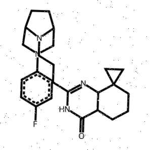 O=C1NC(CCCN2C3CCC2CN(c2ccc(F)cc2)C3)=NC2C1CCCC21CC1